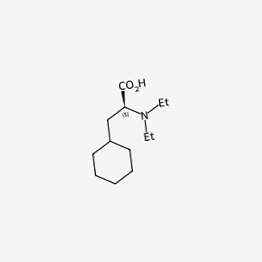 CCN(CC)[C@@H](CC1CCCCC1)C(=O)O